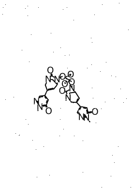 Cn1ncc(C2=CC3CN(C2)C(=O)N3OS(=O)(=O)ON2C(=O)N3CC(c4cnn(C)c(=O)c4)=CC2C3)cc1=O